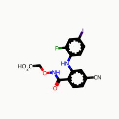 N#Cc1ccc(C(=O)NOCC(=O)O)c(Nc2ccc(I)cc2F)c1